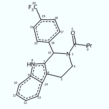 CC(C)C(=O)N1CCc2c([nH]c3ccccc23)C1c1ccc(C(F)(F)F)cc1